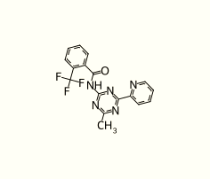 Cc1nc(NC(=O)c2ccccc2C(F)(F)F)nc(-c2ccccn2)n1